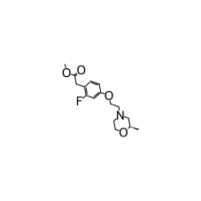 COC(=O)Cc1ccc(OCCN2CCO[C@H](C)C2)cc1F